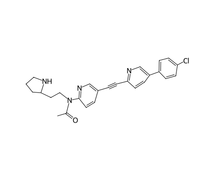 CC(=O)N(CCC1CCCN1)c1ccc(C#Cc2ccc(-c3ccc(Cl)cc3)cn2)cn1